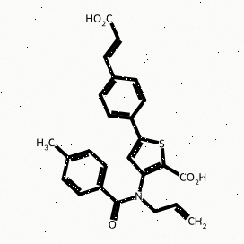 C=CCN(C(=O)c1ccc(C)cc1)c1cc(-c2ccc(/C=C/C(=O)O)cc2)sc1C(=O)O